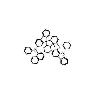 CC12C(N(C3=CCCCC3)c3cccc4c3sc3ccccc34)=CC=CC1C1(C3=C(C=CC(N(c4ccccc4)c4cccc5c4C=CCC5)C3)c3ccccc31)C1CCCCC12